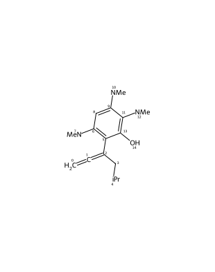 C=C=C(CC(C)C)c1c(NC)cc(NC)c(NC)c1O